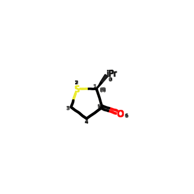 CC(C)[C@@H]1SCCC1=O